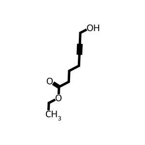 CCOC(=O)CCCC#CCO